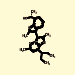 CCC(CC)c1cc(C)nn2c(-c3c(C)sc4c([C@@H](C)O)cccc34)c(C)nc12